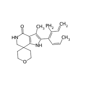 C=C/C(P)=C(\C=C/C)c1[nH]c2c(c1C)C(=O)NCC21CCOCC1